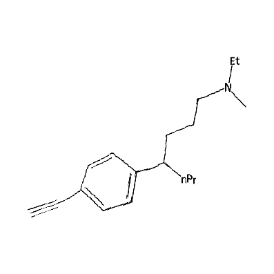 C#Cc1ccc(C(CCC)CCCN(C)CC)cc1